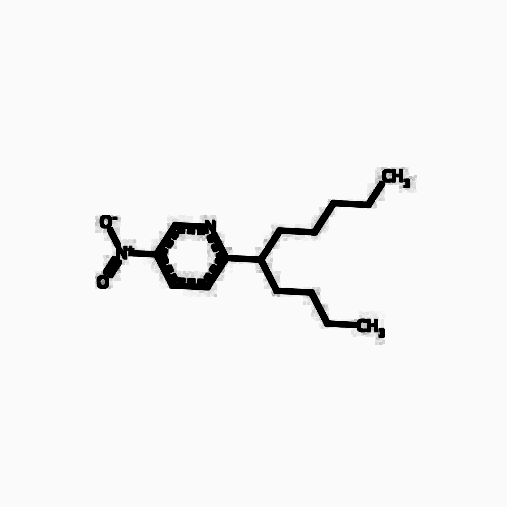 CCCCCC(CCCC)c1ccc([N+](=O)[O-])cn1